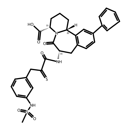 CS(=O)(=O)Nc1cccc(CC(=S)C(=O)N[C@H]2Cc3ccc(-c4ccccc4)cc3[C@H]3CCC[C@@H](C(=O)O)N3C2=O)c1